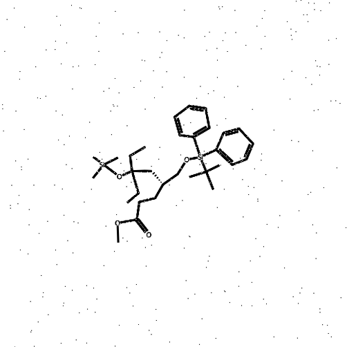 CCC(CC)(C[C@@H](CCC(=O)OC)CO[Si](c1ccccc1)(c1ccccc1)C(C)(C)C)O[Si](C)(C)C